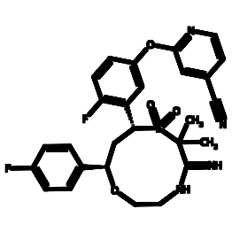 CC1(C)C(=N)NCCO[C@@H](c2ccc(F)cc2)C[C@H](c2cc(Oc3cc(C#N)ccn3)ccc2F)S1(=O)=O